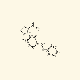 ONC1CCc2cc3ccc(OCc4ccccc4)cc3n21